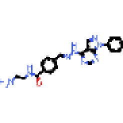 NCCNC(=O)c1ccc(C=NNc2ncnc3c2cnn3-c2ccccc2)cc1